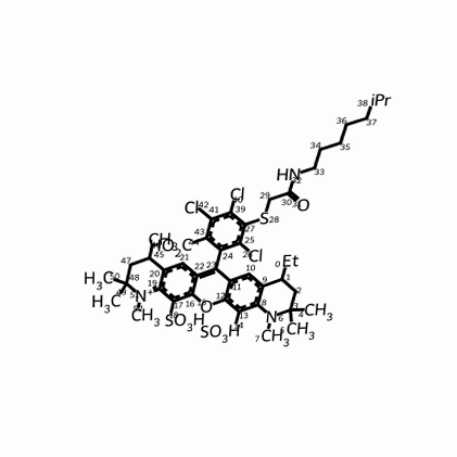 CCC1CC(C)(C)N(C)c2c1cc1c(c2S(=O)(=O)O)Oc2c(S(=O)(=O)O)c3c(cc2=C1c1c(Cl)c(SCC(=O)NCCCCCC(C)C)c(Cl)c(Cl)c1C(=O)O)C(C)CC(C)(C)[N+]=3C